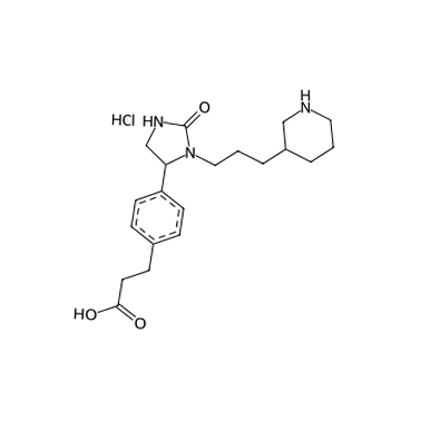 Cl.O=C(O)CCc1ccc(C2CNC(=O)N2CCCC2CCCNC2)cc1